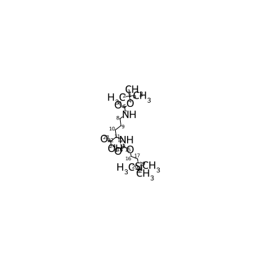 CC(C)(C)OC(=O)NCCCC(NC(=O)OCC[Si](C)(C)C)C(=O)O